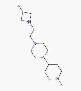 CC1CN(CCN2CCN(C3CCN(C)CC3)CC2)C1